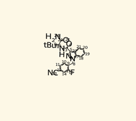 CC(C)(C)[C@H](NC(=O)c1nn(Cc2ccc(C#N)cc2F)c2ccccc12)C(N)=O